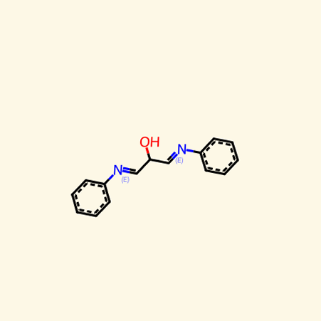 OC(/C=N/c1ccccc1)/C=N/c1ccccc1